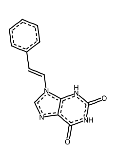 O=c1[nH]c(=O)c2ncn(C=Cc3ccccc3)c2[nH]1